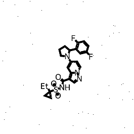 CCC1(S(=O)(=O)NC(=O)c2cnn3ccc(N4CCCC4c4cc(F)ccc4F)cc23)CC1